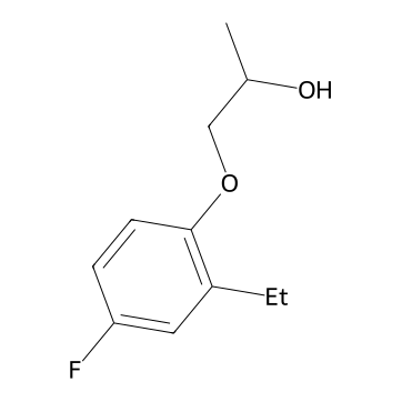 CCc1cc(F)ccc1OCC(C)O